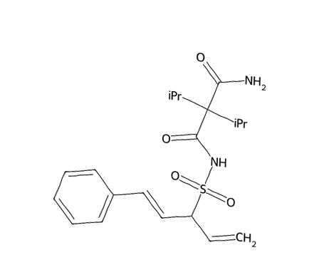 C=CC(C=Cc1ccccc1)S(=O)(=O)NC(=O)C(C(N)=O)(C(C)C)C(C)C